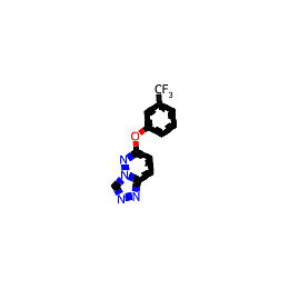 FC(F)(F)c1cccc(Oc2ccc3nncn3n2)c1